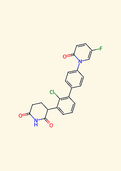 O=C1CCC(c2cccc(-c3ccc(-n4cc(F)ccc4=O)cc3)c2Cl)C(=O)N1